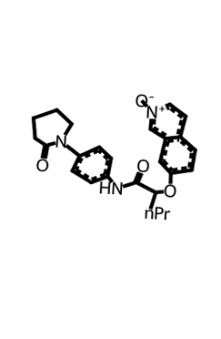 CCCC(Oc1ccc2cc[n+]([O-])cc2c1)C(=O)Nc1ccc(N2CCCCC2=O)cc1